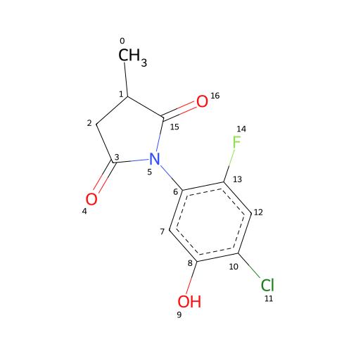 CC1CC(=O)N(c2cc(O)c(Cl)cc2F)C1=O